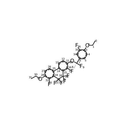 CCOc1ccc([C@@](C)(F)Oc2ccc3c(c2F)C(F)(F)C(F)(F)c2c-3ccc(OCC)c2F)cc1F